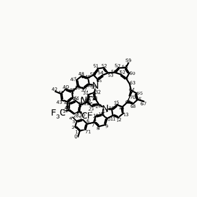 Cc1cc(C)cc(-c2ccc3c4ccc5cc4n(c3c2)-c2cc(-c3ccc(C(F)(F)F)cc3C(F)(F)F)cc(c2C#N)-n2c3cc(-c4cc(C)cc(C)c4)ccc3c3ccc(cc32)-c2cc(C)cc(c2)Cc2cc(C)cc-5c2)c1